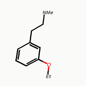 CCOc1cccc(CCNC)c1